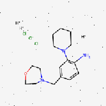 Nc1ccc(CN2CCOCC2)cc1N1CCCCC1.[Cl-].[Cl-].[Cl-].[H+].[H+].[H+]